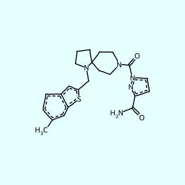 Cc1ccc2cc(CN3CCCC34CCN(C(=O)n3ccc(C(N)=O)n3)CC4)sc2c1